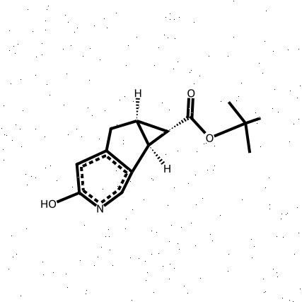 CC(C)(C)OC(=O)[C@H]1[C@@H]2Cc3cc(O)ncc3[C@@H]21